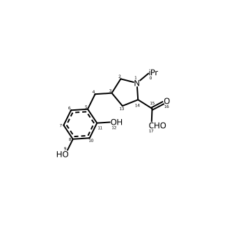 CC(C)N1CC(Cc2ccc(O)cc2O)CC1C(=O)C=O